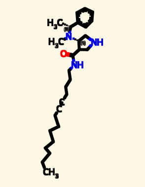 CCCCCCCCCCCCCCNC(=O)C1CNC[C@H]1N(C)[C@H](C)c1ccccc1